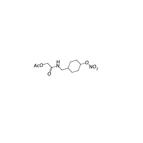 CC(=O)OCC(=O)NCC1CCC(O[N+](=O)[O-])CC1